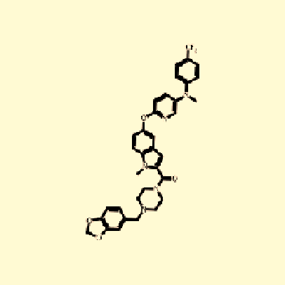 CN(c1ccc(C(F)(F)F)cc1)c1ccc(Oc2ccc3c(c2)cc(C(=O)N2CCN(Cc4ccc5c(c4)OCO5)CC2)n3C)nc1